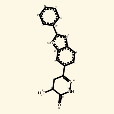 CC1CC(c2ccc3nc(-c4ccccc4)oc3c2)=NNC1=O